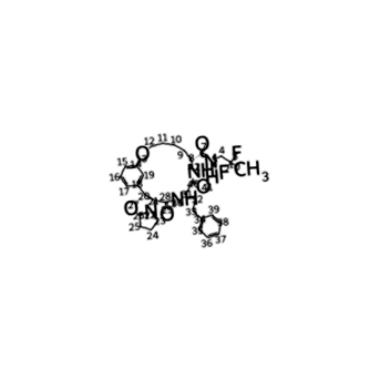 CC(F)(F)CNC(=O)[C@H]1CCCCOc2cccc(c2)C[C@H](N2CCCC2=O)C(=O)N[C@@H](CCc2ccccc2)C(=O)N1